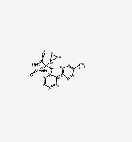 O=C1NC(=O)[C@](CN2C=CC=CC2c2ccc(C(F)(F)F)cc2)(C2CC2)N1